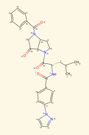 CC(C)C[C@H](NC(=O)c1ccc(-n2cccn2)cc1)C(=O)N1CCC2C1C(=O)CN2C(=O)c1ccccc1